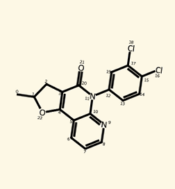 CC1Cc2c(c3cccnc3n(-c3ccc(Cl)c(Cl)c3)c2=O)O1